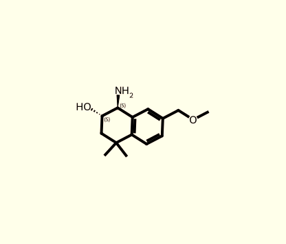 COCc1ccc2c(c1)[C@H](N)[C@@H](O)CC2(C)C